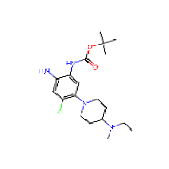 CCN(C)C1CCN(c2cc(NC(=O)OC(C)(C)C)c(N)cc2Cl)CC1